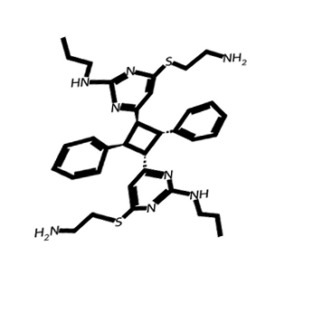 CCCNc1nc(SCCN)cc([C@H]2[C@H](c3ccccc3)[C@H](c3cc(SCCN)nc(NCCC)n3)[C@H]2c2ccccc2)n1